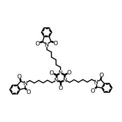 O=C1c2ccccc2C(=O)N1CCCCCCn1c(=O)n(CCCCCCN2C(=O)c3ccccc3C2=O)c(=O)n(CCCCCCN2C(=O)c3ccccc3C2=O)c1=O